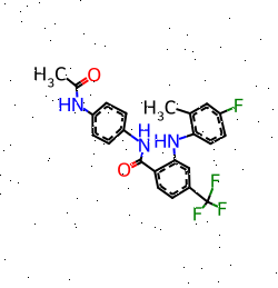 CC(=O)Nc1ccc(NC(=O)c2ccc(C(F)(F)F)cc2Nc2ccc(F)cc2C)cc1